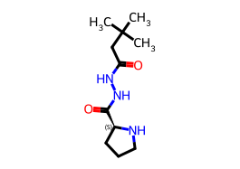 CC(C)(C)CC(=O)NNC(=O)[C@@H]1CCCN1